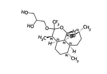 C[C@@H]1CC[C@H]2[C@@H](C)C(OCC(O)CO)(C(F)(F)F)O[C@@H]3O[C@]4(C)CC[C@@H]1[C@]32OO4